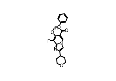 CC(C)Oc1c(C(=O)Oc2ccccc2)cn2cc(C3CCOCC3)nc2c1F